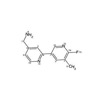 Cc1cc(-c2cc(CN)ccn2)cnc1F